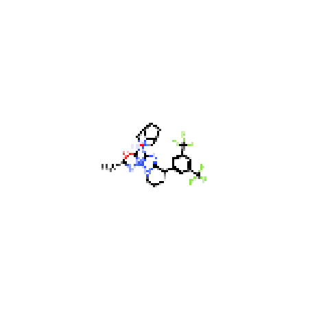 Cc1nnc(N2CC3CCC(C2)C3Nc2nc3n(n2)CCCC3c2cc(C(F)(F)F)cc(C(F)(F)F)c2)o1